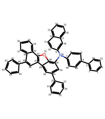 c1ccc(-c2ccc(N(c3ccc4ccccc4c3)c3cc(-c4ccccc4)cc4c3oc3c5ccccc5c(-c5ccccc5)cc43)cc2)cc1